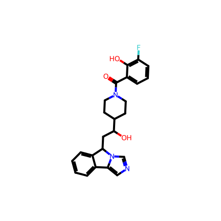 O=C(c1cccc(F)c1O)N1CCC(C(O)CC2c3ccccc3-c3cncn32)CC1